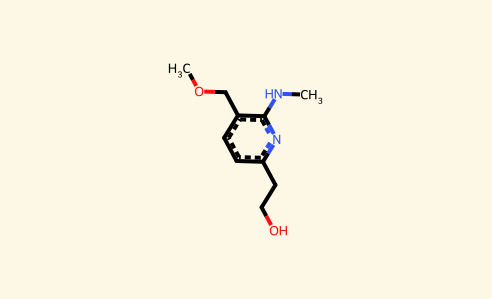 CNc1nc(CCO)ccc1COC